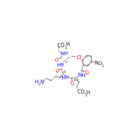 NCCCC[C@@H]1NC(=O)[C@H](CCC(=O)O)NC(=O)c2cc([N+](=O)[O-])ccc2OCC[C@@H](C(=O)NCC(=O)O)NC1=O